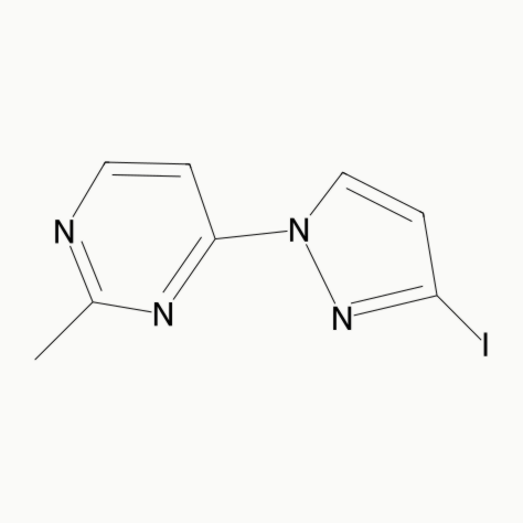 Cc1nccc(-n2ccc(I)n2)n1